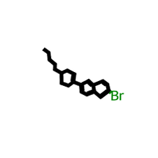 CCCCCC1CC=C(c2ccc3cc(Br)ccc3c2)CC1